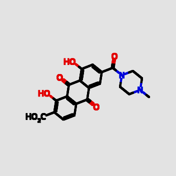 CN1CCN(C(=O)c2cc(O)c3c(c2)C(=O)c2ccc(C(=O)O)c(O)c2C3=O)CC1